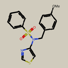 COc1ccc(CN(c2cscn2)S(=O)(=O)c2[c]cccc2)cc1